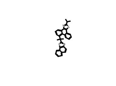 CC(C)c1nc2c3cccc(C(C)(C)c4nc5ccc6ccccc6c5s4)c3c3ccccc3c2s1